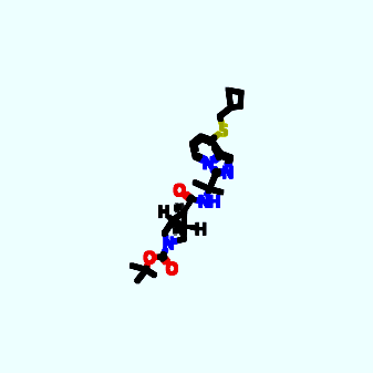 CC(C)(C)OC(=O)N1C[C@@H]2[C@H](C1)[C@H]2C(=O)NC(C)(C)c1ncc2c(SCC3CCC3)cccn12